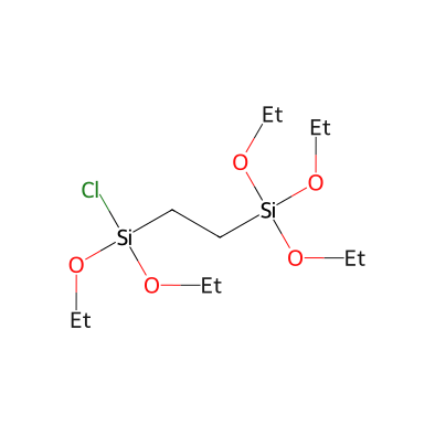 CCO[Si](Cl)(CC[Si](OCC)(OCC)OCC)OCC